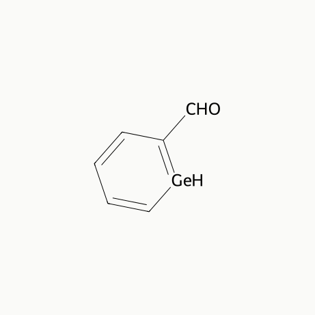 O=C[C]1=[GeH][CH]=CC=C1